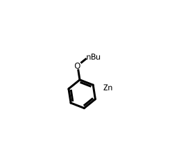 CCCCOc1ccccc1.[Zn]